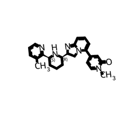 Cc1cccnc1[C@@H]1CCC[C@H](C2CN3C(c4ccn(C)c(=O)c4)=CC=CC3=N2)N1